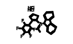 C[C](C)=[Zr]([C]1=C(c2c(F)c(F)c(F)c(F)c2F)C=CC1)[CH]1c2ccccc2-c2ccccc21.Cl.Cl